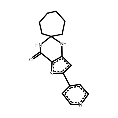 O=C1NC2(CCCCCC2)Nc2cc(-c3ccncc3)sc21